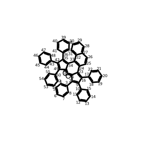 O=C1C(c2ccccc2)=C(c2ccccc2)C(c2ccccc2)=C1c1ccc2ccccc2c1C1=C(c2ccccc2)C(c2ccccc2)=C(c2ccccc2)C1=O